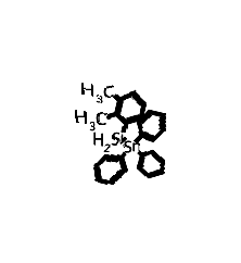 Cc1cccc([SiH2][Sn]([c]2ccccc2)([c]2ccccc2)[c]2ccccc2)c1C